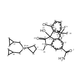 NC(=O)c1cc2c(c(C(F)(F)F)c1)C(O)(c1c(F)cccc1Cl)C(=O)N2C[C@H]1C[C@H](N(CC2CC2)CC2CC2)C1